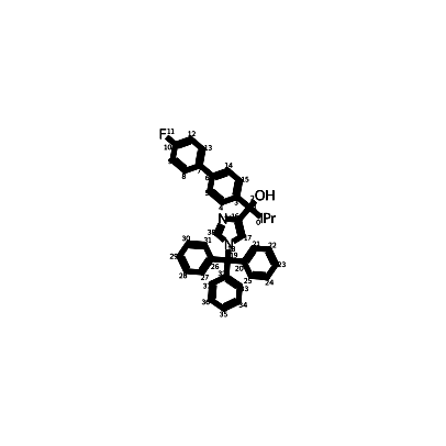 CC(C)C(O)(c1ccc(-c2ccc(F)cc2)cc1)c1cn(C(c2ccccc2)(c2ccccc2)c2ccccc2)cn1